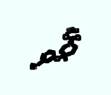 CC(C)(C)OC(=O)N1CCC(C)(Oc2ccnc(Br)c2)CC1